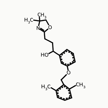 Cc1cccc(C)c1COc1cccc(C(O)CCC2=NC(C)(C)CO2)c1